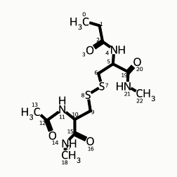 CCC(=O)NC(CSSCC(NC(C)=O)C(=O)NC)C(=O)NC